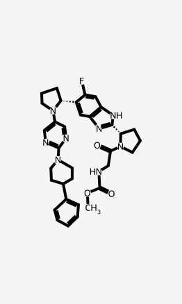 COC(=O)NCC(=O)N1CCC[C@H]1c1nc2cc([C@H]3CCCN3c3cnc(N4CCC(c5ccccc5)CC4)nc3)c(F)cc2[nH]1